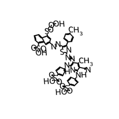 Cc1ccc(-c2nc(/N=N/c3c(Nc4ccc(S(=O)(=O)O)cc4)nc(Nc4ccc(S(=O)(=O)O)cc4)c(C#N)c3C)sc2/N=N/c2cc(SOOO)c3cccc(S(=O)(=O)O)c3c2)cc1